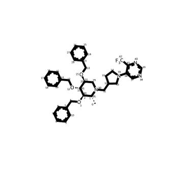 C[C@@H]1[C@@H](OCc2ccccc2)[C@H](OCc2ccccc2)[C@@H](OCc2ccccc2)CN1CC1CCN(c2cncnc2C(F)(F)F)C1